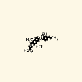 CCCc1ccc(COc2ccc3c(c2)CCC(CN2CC(C(=O)O)C2)=C3C)c(OC)c1.Cl